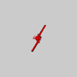 CCCCCCCCCCCCCCCCOC(=O)c1cc(C(C)(C)C)c(OC(c2c(C(C)(C)C)cc(C(=O)OCCCCCCCCCCCCCCCC)cc2C(C)(C)C)C(CO)(CO)CO)c(C(C)(C)C)c1